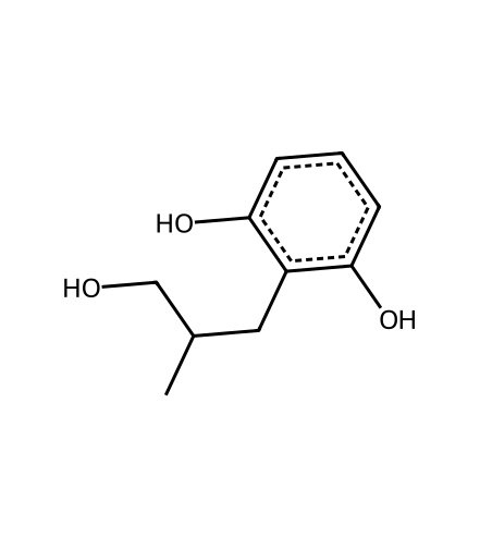 CC(CO)Cc1c(O)cccc1O